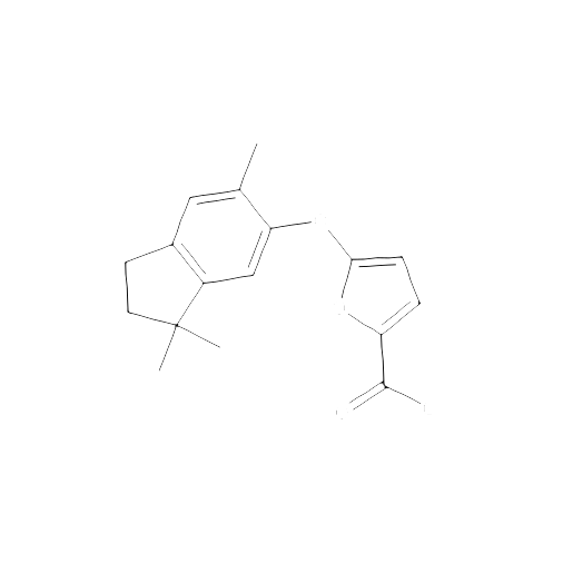 Cc1cc2c(cc1Oc1ccc(C(=O)Cl)o1)C(C)(C)CC2